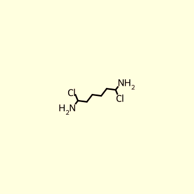 NC(Cl)CCCCC(N)Cl